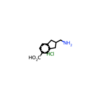 Cl.NCC1Cc2ccc(C(=O)O)cc2C1